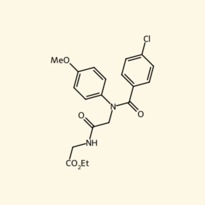 CCOC(=O)CNC(=O)CN(C(=O)c1ccc(Cl)cc1)c1ccc(OC)cc1